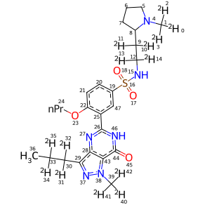 [2H]C([2H])([2H])N1CCCC1C([2H])([2H])C([2H])([2H])NS(=O)(=O)c1ccc(OCCC)c(-c2nc3c(C([2H])([2H])C([2H])([2H])C)nn(C([2H])([2H])[2H])c3c(=O)[nH]2)c1